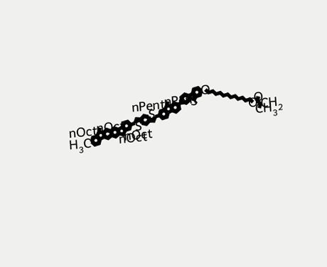 C=C(C)C(=O)OCCCCCCCCCCCCOc1ccc2c(c1)sc1cc(-c3ccc4c(c3)C(CCCCC)(CCCCC)c3cc(-c5cc6cc7sc(-c8ccc9c(c8)C(CCCCCCCC)(CCCCCCCC)c8cc%10cc%11c(cc%10cc8-9)C(CCCCCCCC)(CCCCCCCC)c8cc(C)ccc8-%11)cc7cc6s5)ccc3-4)ccc12